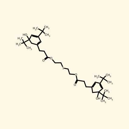 CC(C)(C)C1=CC(O)(C(C)(C)C)CC(CCC(=O)OCCSCCOC(=O)CCC2=CC(C(C)(C)C)=CC(O)(C(C)(C)C)C2)=C1